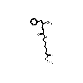 COC(=O)CCCCCNC(=O)C=CC(C)=Cc1ccccc1